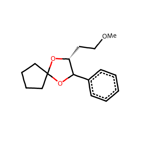 COCC[C@H]1OC2(CCCC2)OC1c1ccccc1